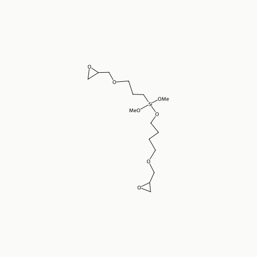 CO[Si](CCCOCC1CO1)(OC)OCCCCOCC1CO1